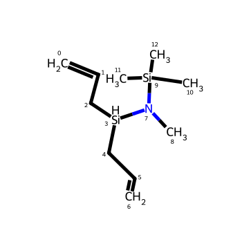 C=CC[SiH](CC=C)N(C)[Si](C)(C)C